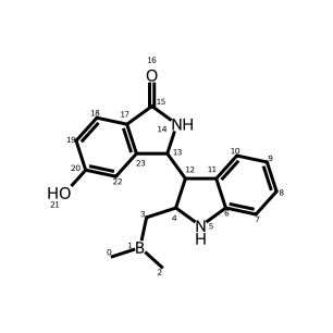 CB(C)CC1Nc2ccccc2C1C1NC(=O)c2ccc(O)cc21